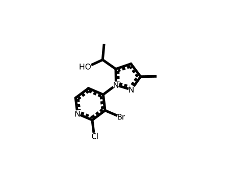 Cc1cc(C(C)O)n(-c2ccnc(Cl)c2Br)n1